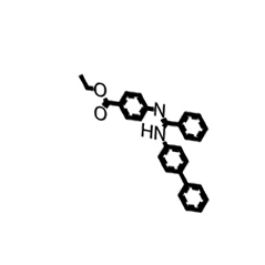 CCOC(=O)c1ccc(N=C(Nc2ccc(-c3ccccc3)cc2)c2ccccc2)cc1